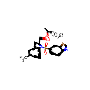 CCOC(=O)C(C)OCc1cc2cc(C(F)(F)F)ccc2n1S(=O)(=O)c1ccc2ncsc2c1